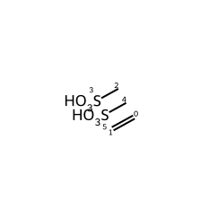 C=C.CS(=O)(=O)O.CS(=O)(=O)O